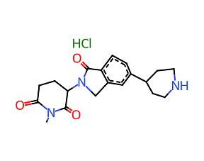 CN1C(=O)CCC(N2Cc3cc(C4CCNCC4)ccc3C2=O)C1=O.Cl